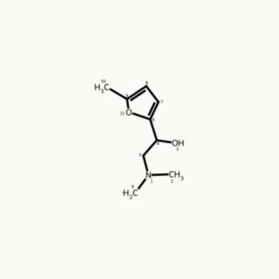 [CH2]N(C)CC(O)c1ccc(C)o1